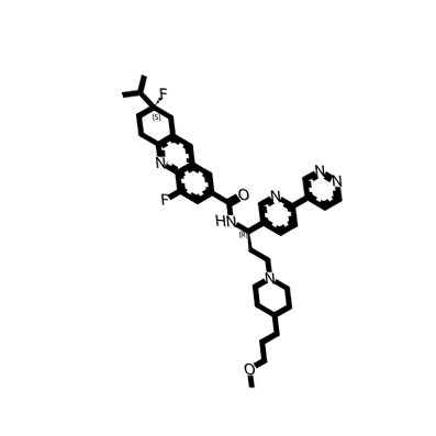 COCCCC1CCN(CC[C@@H](NC(=O)c2cc(F)c3nc4c(cc3c2)C[C@](F)(C(C)C)CC4)c2ccc(-c3ccnnc3)nc2)CC1